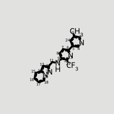 Cc1cncc(-c2ccc(NCc3cc4ccccn4n3)c(C(F)(F)F)n2)c1